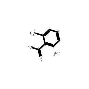 Nc1ccccc1C(=O)[O-].[Ag+]